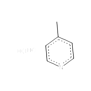 Cc1ccncc1.Cl.Cl